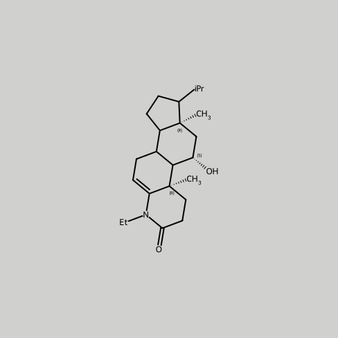 CCN1C(=O)CC[C@@]2(C)C1=CCC1C3CCC(C(C)C)[C@@]3(C)C[C@H](O)C12